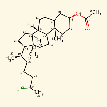 CC(=O)O[C@H]1CC[C@@]2(C)C(CC[C@@H]3C2CC[C@]2(C)[C@@H]([C@H](C)CCCC(C)Cl)CC[C@@H]32)C1